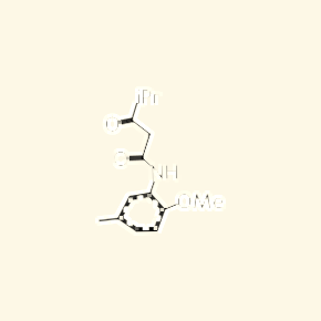 COc1ccc(C)cc1NC(=O)CC(=O)C(C)C